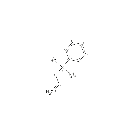 C=CCC(N)(O)c1ccccc1